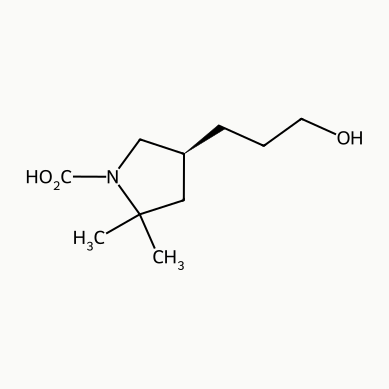 CC1(C)C[C@H](CCCO)CN1C(=O)O